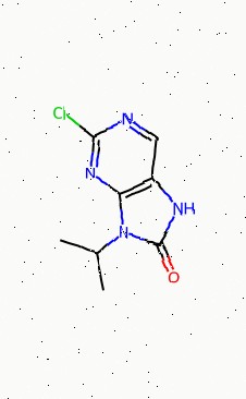 CC(C)n1c(=O)[nH]c2cnc(Cl)nc21